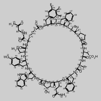 CCCC[C@H]1C(=O)N2CCC[C@@H]2C(=O)N[C@@H](CC(=O)O)C(=O)N[C@@H](C(C)C)C(=O)N(C)[C@@H](Cc2ccccc2)C(=O)N[C@@H](CCC(N)=O)C(=O)N2C[C@H](O)C[C@H]2C(=O)N[C@@H](Cc2c[nH]c3ccccc23)C(=O)N[C@@H](Cc2ccc(O)cc2)C(=O)N[C@@H](CN)C(=O)N[C@H](C(=O)NCC(N)=O)CSCC(=O)N[C@@H](Cc2cc(F)c(F)c(F)c2)C(=O)N(C)[C@@H](Cc2ccccc2)C(=O)N1C